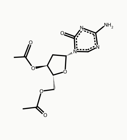 CC(=O)OC[C@H]1O[C@@H](n2cnc(N)nc2=O)C[C@@H]1OC(C)=O